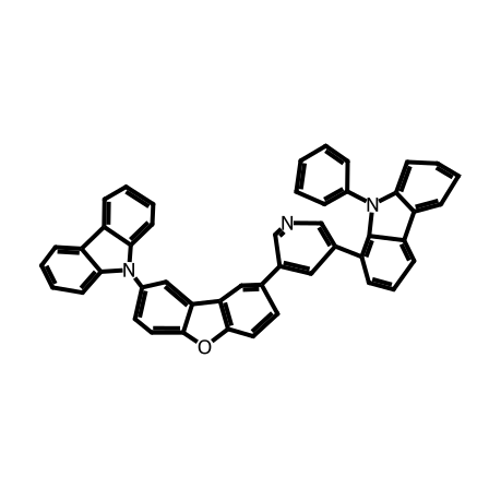 c1ccc(-n2c3ccccc3c3cccc(-c4cncc(-c5ccc6oc7ccc(-n8c9ccccc9c9ccccc98)cc7c6c5)c4)c32)cc1